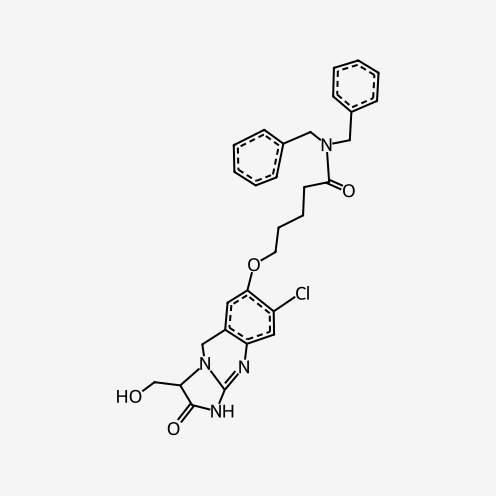 O=C1NC2=Nc3cc(Cl)c(OCCCCC(=O)N(Cc4ccccc4)Cc4ccccc4)cc3CN2C1CO